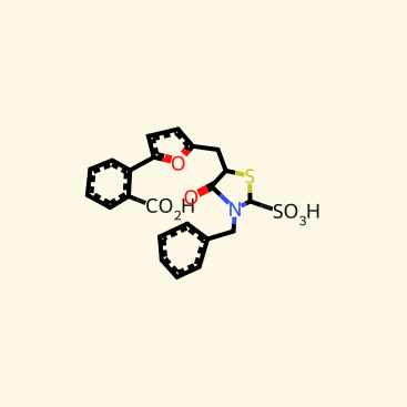 O=C(O)c1ccccc1-c1ccc(CC2SC(S(=O)(=O)O)N(Cc3ccccc3)C2=O)o1